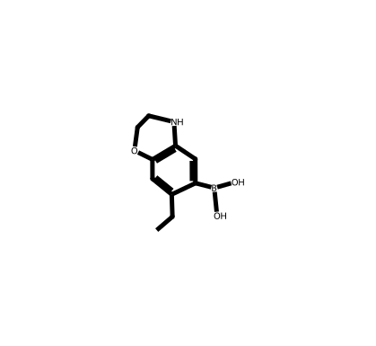 CCc1cc2c(cc1B(O)O)NCCO2